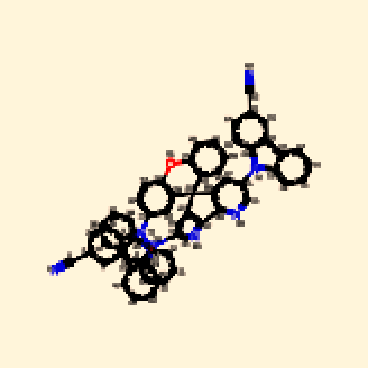 N#Cc1ccc2c(c1)c1ccccc1n2-c1ccc2c(c1)C1(c3ccccc3O2)c2cc(-n3c4ccccc4c4ccccc43)cnc2-c2ncc(-n3c4ccccc4c4cc(C#N)ccc43)cc21